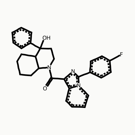 O=C(c1nc(-c2ccc(F)cc2)n2ccccc12)N1CCC(O)(c2ccccc2)C2CCCCC21